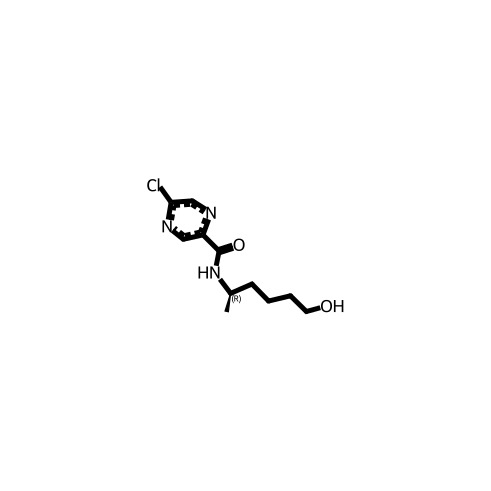 C[C@H](CCCCO)NC(=O)c1cnc(Cl)cn1